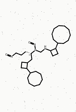 O=NCCC[C@@H](CC1CCC1C1CCCCCCC1)N(CNC1CCC1C1CCCCCCCCC1)N=O